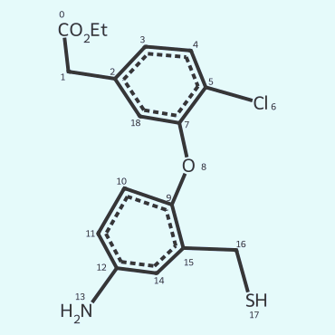 CCOC(=O)Cc1ccc(Cl)c(Oc2ccc(N)cc2CS)c1